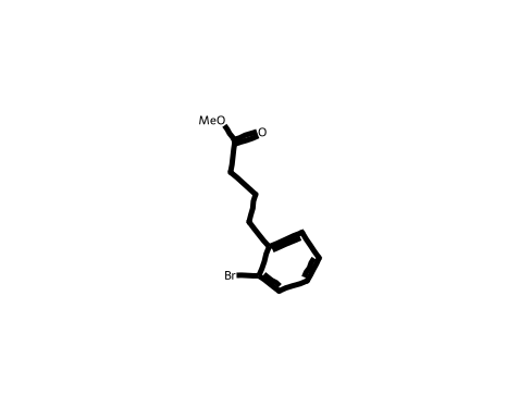 COC(=O)CCCc1ccccc1Br